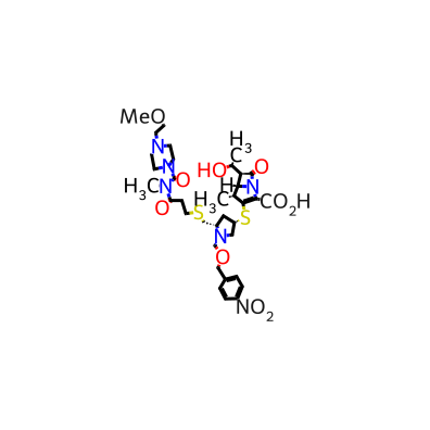 COCCN1CCN(C(=O)N(C)C(=O)CCSC[C@@H]2C[C@H](SC3=C(C(=O)O)N4C(=O)[C@H]([C@@H](C)O)[C@H]4[C@H]3C)CN2COCc2ccc([N+](=O)[O-])cc2)CC1